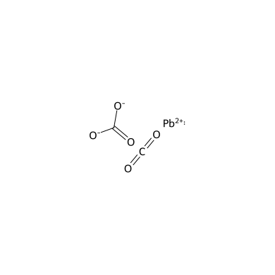 O=C([O-])[O-].O=C=O.[Pb+2]